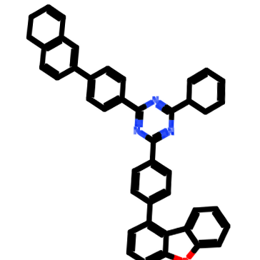 C1=CCC(c2nc(-c3ccc(-c4ccc5c(c4)C=CCC5)cc3)nc(-c3ccc(-c4cccc5oc6ccccc6c45)cc3)n2)C=C1